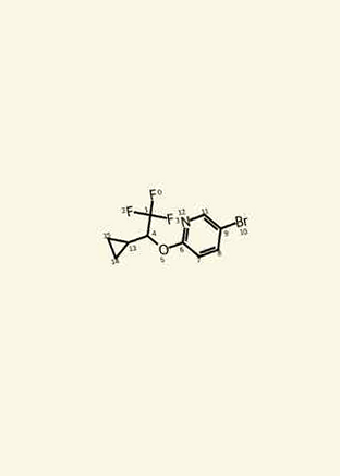 FC(F)(F)C(Oc1ccc(Br)cn1)C1CC1